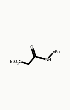 CCCCNC(=O)CC(=O)OCC